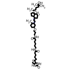 C=C1CC[C@H](OCCCNC(=O)CCCCCNC(=O)CCCCC2SCC3NC(=O)NC32)C/C1=C/C=C1\CCC[C@@]2(C)C1CC[C@@H]2C(C)CCCC(C)(C)O